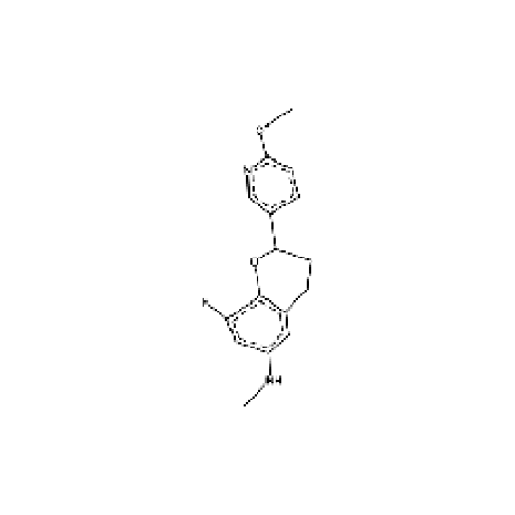 CNc1cc(F)c2c(c1)CCC(c1ccc(OC)nc1)O2